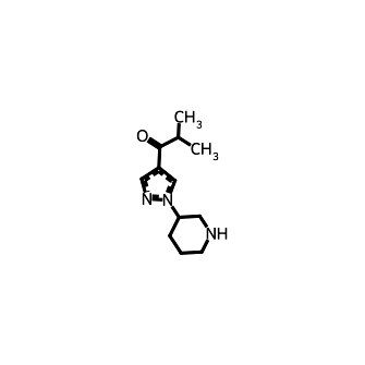 CC(C)C(=O)c1cnn(C2CCCNC2)c1